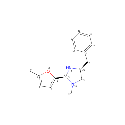 Cc1ccc([C@H]2N[C@@H](Cc3ccccc3)CN2C)o1